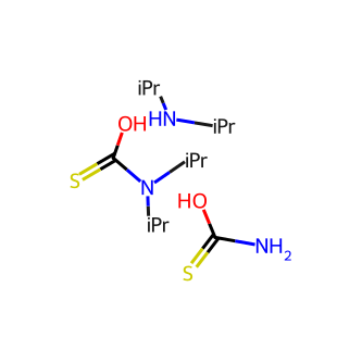 CC(C)N(C(O)=S)C(C)C.CC(C)NC(C)C.NC(O)=S